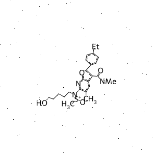 CCc1ccc(-c2oc3nc(N(CCCCCO)[S+](C)[O-])c(C)cc3c2C(=O)NC)cc1